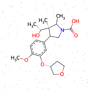 COc1ccc(C2CN(C(=O)O)C(C)[C@]2(C)[C@@H](C)O)cc1O[C@@H]1CCOC1